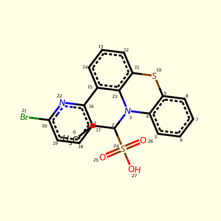 CCC(N1c2ccccc2Sc2cccc(-c3cccc(Br)n3)c21)S(=O)(=O)O